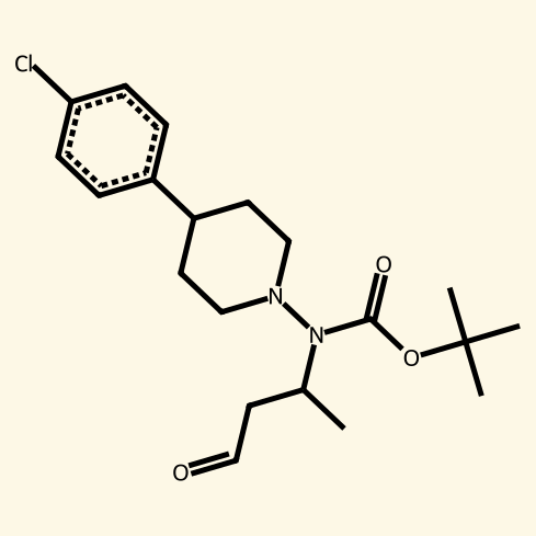 CC(CC=O)N(C(=O)OC(C)(C)C)N1CCC(c2ccc(Cl)cc2)CC1